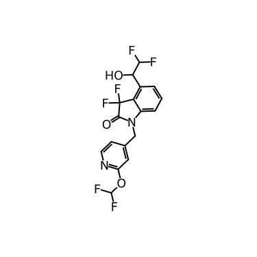 O=C1N(Cc2ccnc(OC(F)F)c2)c2cccc(C(O)C(F)F)c2C1(F)F